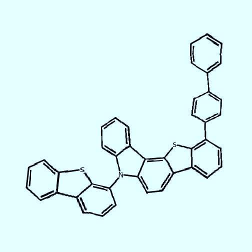 c1ccc(-c2ccc(-c3cccc4c3sc3c4ccc4c3c3ccccc3n4-c3cccc4c3sc3ccccc34)cc2)cc1